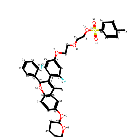 CC1=C(c2c(F)cc(OCCOCCOS(=O)(=O)c3ccc(C)cc3)cc2F)C(c2ccccc2)Oc2ccc(OC3CCCCO3)cc21